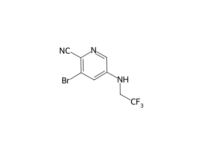 N#Cc1ncc(NCC(F)(F)F)cc1Br